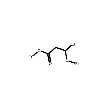 CCOC(=O)CC(CC)OCC